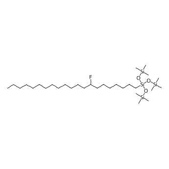 CCCCCCCCCCCCCC(F)CCCCCCC[Si](O[Si](C)(C)C)(O[Si](C)(C)C)O[Si](C)(C)C